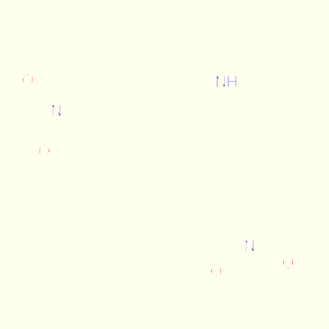 Cc1cc([N+](=O)[O-])c(C)c2c1[nH]c1ccc([N+](=O)[O-])cc12